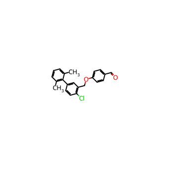 Cc1cccc(C)c1-c1ccc(Cl)c(COc2ccc(C=O)cc2)c1